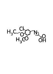 CCCOc1c(Cl)cc(CN2CC(C(=O)O)C2)cc1OC